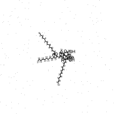 CCCCCCCCCCCCCC(=O)OC(CCCCCCCCCCC)CC(=O)N[C@H]1[C@H](OC)O[C@H](CO)[C@@H](OS(=O)(=O)O)[C@@H]1OC(=O)CCCCCCCCCCCCC